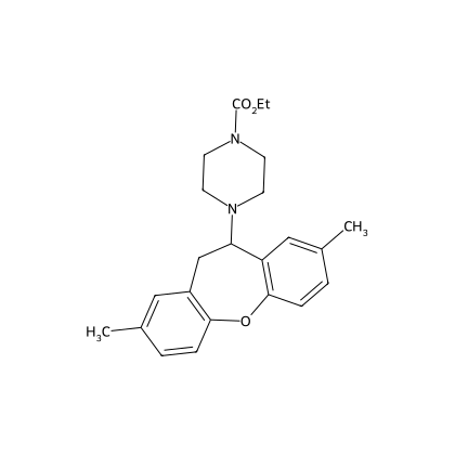 CCOC(=O)N1CCN(C2Cc3cc(C)ccc3Oc3ccc(C)cc32)CC1